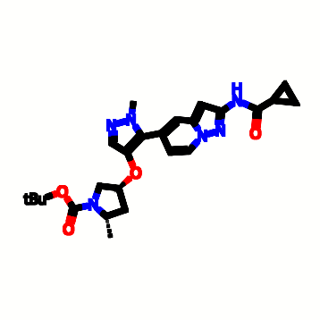 C[C@H]1C[C@H](Oc2cnn(C)c2-c2ccn3nc(NC(=O)C4CC4)cc3c2)CN1C(=O)OC(C)(C)C